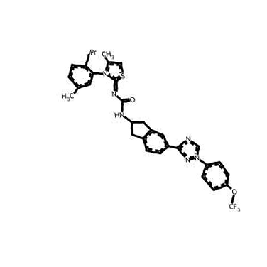 Cc1ccc(C(C)C)c(-n2c(C)csc2=NC(=O)NC2Cc3ccc(-c4ncn(-c5ccc(OC(F)(F)F)cc5)n4)cc3C2)c1